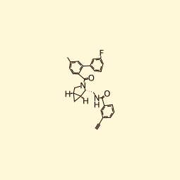 C#Cc1cccc(C(=O)NC[C@@H]2[C@@H]3C[C@@H]3CN2C(=O)c2ccc(C)cc2-c2cccc(F)c2)c1